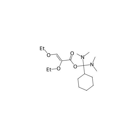 CCOC=C(OCC)C(=O)OC(C1CCCCC1)(N(C)C)N(C)C